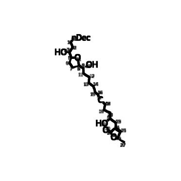 CCCCCCCCCCCC[C@H](O)[C@@H]1CC[C@H]([C@H](O)CCCCCCCCCC[C@H](O)CC2=C[C@@H](C)OC2=O)O1